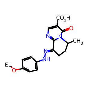 CCOc1ccc(NN=C2CCC(C)n3c2ncc(C(=O)O)c3=O)cc1